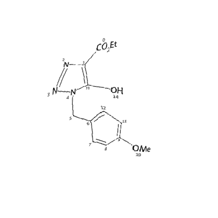 CCOC(=O)c1nnn(Cc2ccc(OC)cc2)c1O